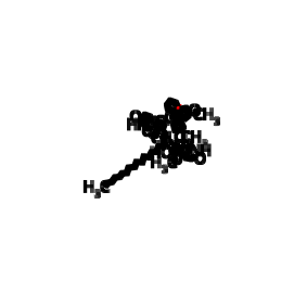 CCCCCCCCCCCCCCCCCN(CC[C@H]1[C@@H](OC)[C@H](n2ccc(=O)[nH]c2=O)O[C@@H]1COC(c1ccccc1)(c1ccc(OC)cc1)c1ccc(OC)cc1)C[C@H]1O[C@@H](n2ccc(=O)[nH]c2=O)[C@H](OC)[C@@H]1O